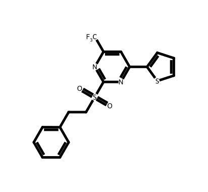 O=S(=O)(CCc1ccccc1)c1nc(-c2cccs2)cc(C(F)(F)F)n1